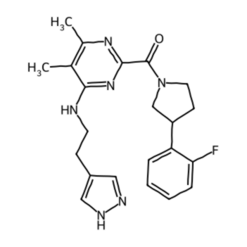 Cc1nc(C(=O)N2CCC(c3ccccc3F)C2)nc(NCCc2cn[nH]c2)c1C